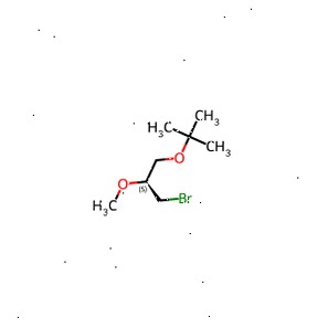 CO[C@H](CBr)COC(C)(C)C